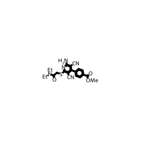 CCN(CC)C(=O)CSc1nc(N)c(C#N)c(-c2ccc(C(=O)OC)cc2)c1C#N